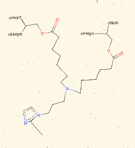 CCCCCCCCCC(CCCCCCC)COC(=O)CCCCCN(CCCCCCC(=O)OCC(CCCCCCC)CCCCCCC)CCCn1ccnc1C